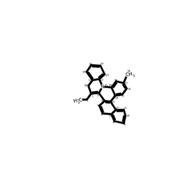 CCC1=C2c3ccc4ccccc4c3-c3ccc(C)cc3N2c2ccccc2C1